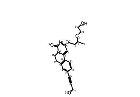 CC(COc1cc2n(c(=O)n1)CCc1cc(C#CCO)ccc1-2)OCCO